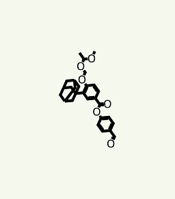 COC(C)OCOc1ccc(C(=O)Oc2ccc(C=O)cc2)cc1C12CC3CC(CC(C3)C1)C2